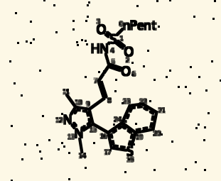 CCCCCS(=O)(=O)NC(=O)C=Cc1c(C)nn(C)c1-c1csc2ccccc12